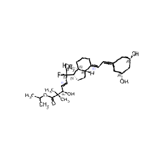 CC(C)OC(=O)C(C)(C)[C@H](O)/C=C/[C@](C)(F)[C@H]1CC[C@H]2/C(=C/C=C3C[C@@H](O)C[C@H](O)C3)CCC[C@@]21C